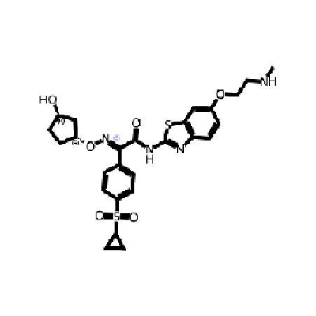 CNCCOc1ccc2nc(NC(=O)/C(=N/O[C@@H]3CC[C@@H](O)C3)c3ccc(S(=O)(=O)C4CC4)cc3)sc2c1